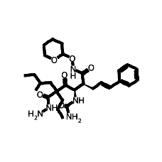 CCCC(CC(C)CC)(C(=O)NN)C(=O)[C@H](NC(N)=O)[C@H](C/C=C/c1ccccc1)C(=O)NOC1CCCCO1